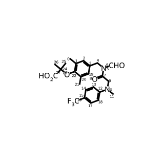 Cc1cc(CN(C=O)C(=O)CN(C)c2ccc(C(F)(F)F)cc2)cc(C)c1OC(C)(C)C(=O)O